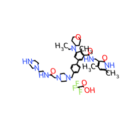 CCN(c1cc(-c2ccc(CN3CCN(CC(=O)NCCN4CCNCC4)CC3)cc2)cc(C(=O)NCc2c(C)cc(C)[nH]c2=O)c1C)C1CCOCC1.O=C(O)C(F)(F)F